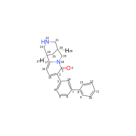 O=c1c(-c2cccc(-c3ccccc3)c2)ccc2n1C[C@@H]1CNC[C@H]2C1